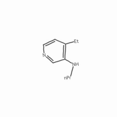 CCCNc1cnccc1CC